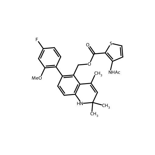 COc1cc(F)ccc1-c1ccc2c(c1COC(=O)c1sccc1NC(C)=O)C(C)=CC(C)(C)N2